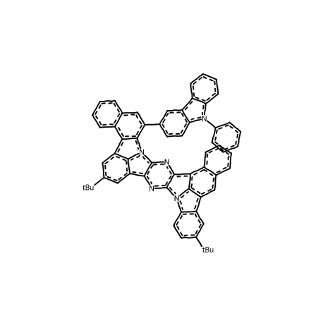 CC(C)(C)c1ccc2c(c1)c1cc3ccccc3c3c4nc5c(nc4n2c13)c1cc(C(C)(C)C)cc2c3c4ccccc4cc(-c4ccc6c(c4)c4ccccc4n6-c4ccccc4)c3n5c12